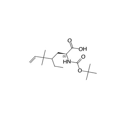 C=CC(C)(C)C(CC)C[C@H](NC(=O)OC(C)(C)C)C(=O)O